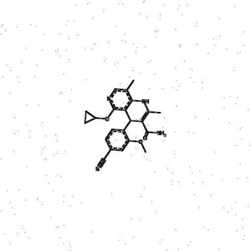 COc1cc(C#N)ccc1C1C(C(N)=O)=C(C)Nc2c(C)cnc(OC3CC3)c21